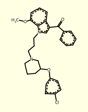 COc1cccc2c(C(=O)c3ccccc3)cn(CCCN3CCCC(Oc4ccc(Cl)cc4)C3)c12